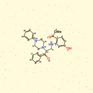 COC(=O)c1ccc(O)cc1NCC(C(=O)c1ccccc1)N1CCN(c2ccccc2)CC1